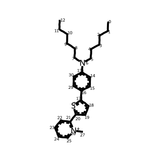 CCCCCCN(CCCCCC)c1ccc(-c2ccc(-c3cccc[n+]3C)s2)cc1